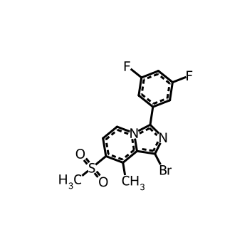 Cc1c(S(C)(=O)=O)ccn2c(-c3cc(F)cc(F)c3)nc(Br)c12